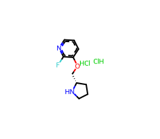 Cl.Cl.Fc1ncccc1OC[C@@H]1CCCN1